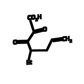 C=CCC(CC)C(=O)C(=O)C(=O)O